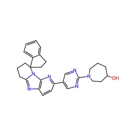 OC1CCCN(c2ncc(-c3ccc4nc5n(c4n3)C3(CCC5)CCc4ccccc43)cn2)CC1